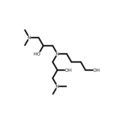 CN(C)CC(O)CN(CCCCO)CC(O)CN(C)C